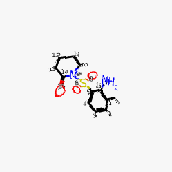 Cc1cccc(S(=O)(=O)N2CCCCC2=O)c1N